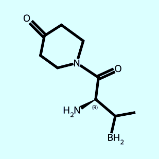 BC(C)[C@@H](N)C(=O)N1CCC(=O)CC1